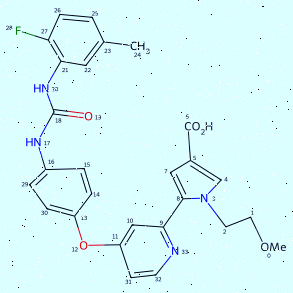 COCCn1cc(C(=O)O)cc1-c1cc(Oc2ccc(NC(=O)Nc3cc(C)ccc3F)cc2)ccn1